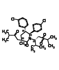 CC(C)C(=O)C[C@@]1(C)C[C@H](c2cccc(Cl)c2)[C@@H](c2ccc(Cl)cc2)N([C@H](CS(=O)(=O)C(C)C)C(C)C)C1=O